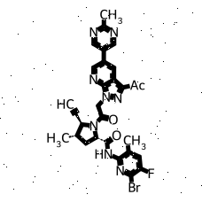 C#C[C@@H]1[C@@H](C)C[C@@H](C(=O)Nc2nc(Br)c(F)cc2C)N1C(=O)Cn1nc(C(C)=O)c2cc(-c3cnc(C)nc3)cnc21